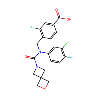 O=C(O)c1ccc(CN(C(=O)N2CC3(COC3)C2)c2ccc(F)c(Cl)c2)c(F)c1